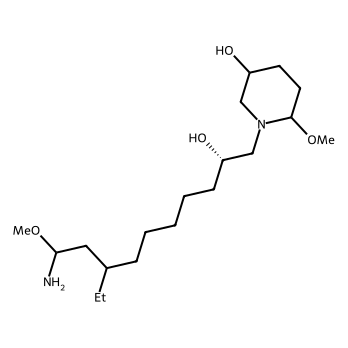 CCC(CCCCC[C@H](O)CN1CC(O)CCC1OC)CC(N)OC